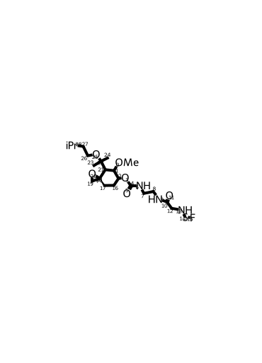 COC1C(OC(=O)NCCNC(=O)CNSF)CC[C@]2(CO2)C1C(C)(C)OCCC(C)C